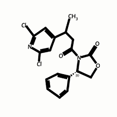 CC(CC(=O)N1C(=O)OC[C@@H]1c1ccccc1)c1cc(Cl)nc(Cl)c1